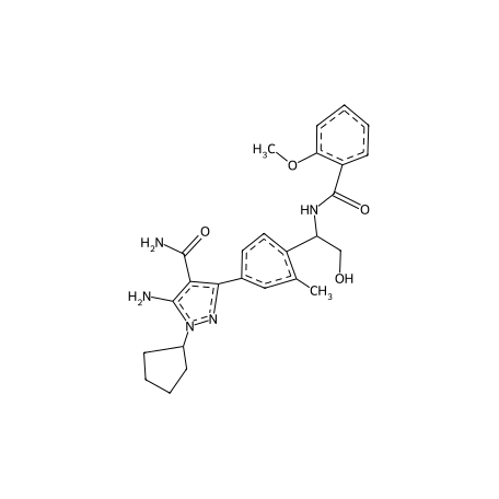 COc1ccccc1C(=O)NC(CO)c1ccc(-c2nn(C3CCCC3)c(N)c2C(N)=O)cc1C